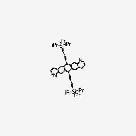 CC(C)[Si](C#CC#Cc1c2cc3cccnc3cc2c(C#CC#C[Si](C(C)C)(C(C)C)C(C)C)c2cc3cccnc3cc12)(C(C)C)C(C)C